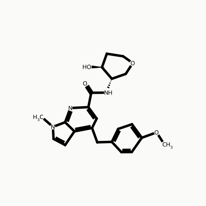 COc1ccc(Cc2cc(C(=O)N[C@H]3COCC[C@@H]3O)nc3c2ccn3C)cc1